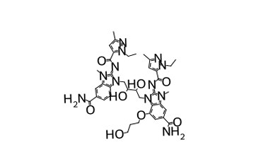 CCn1nc(C)cc1C(=O)/N=c1\n(C)c2cc(C(N)=O)ccc2n1CC(O)C(O)Cn1/c(=N/C(=O)c2cc(C)nn2CC)n(C)c2cc(C(N)=O)cc(OCCCO)c21